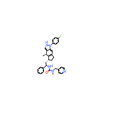 C[C@H]1C2=CNN(c3ccc(F)cc3)C2=CC2=C1[C@@H](CC(NC(=O)N(C)Cc1ccncc1)c1ccccc1)CC2